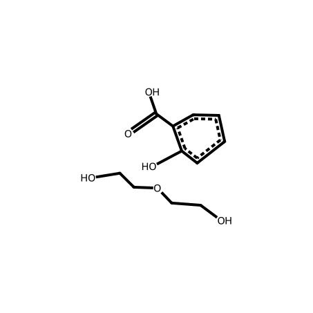 O=C(O)c1ccccc1O.OCCOCCO